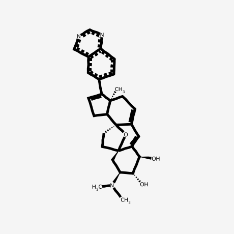 CN(C)[C@H]1C[C@@]23CC[C@@]4(O2)C(=CC[C@]2(C)C(c5ccc6ncncc6c5)=CCC24)C=C3[C@@H](O)[C@@H]1O